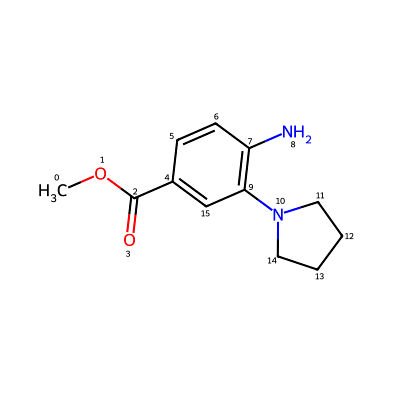 COC(=O)c1ccc(N)c(N2CCCC2)c1